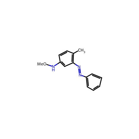 CONc1ccc(C)c(N=Nc2ccccc2)c1